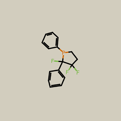 FC1(F)CCP(c2ccccc2)C1(F)c1ccccc1